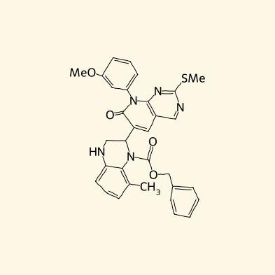 COc1cccc(-n2c(=O)c(C3CNc4cccc(C)c4N3C(=O)OCc3ccccc3)cc3cnc(SC)nc32)c1